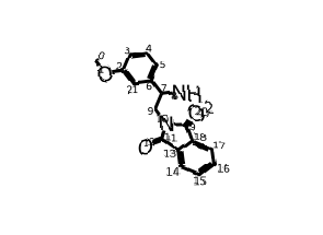 COc1cccc(C(N)CN2C(=O)c3ccccc3C2=O)c1